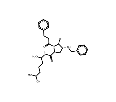 CC(CCCB(O)O)NC(=O)C1C[C@@H](NCc2ccccc2)C(Br)N1C(=O)CCc1ccccc1